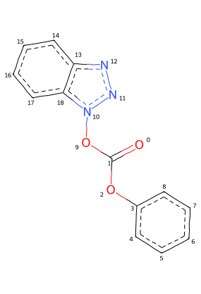 O=C(Oc1ccccc1)On1nnc2ccccc21